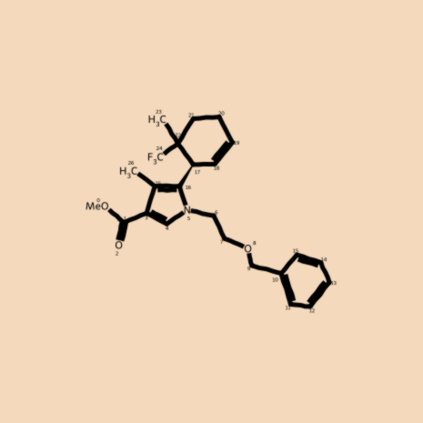 COC(=O)c1cn(CCOCc2ccccc2)c([C@@H]2C=CCCC2(C)C(F)(F)F)c1C